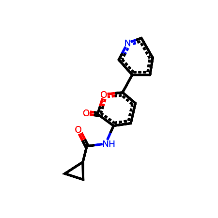 O=C(Nc1ccc(-c2cccnc2)oc1=O)C1CC1